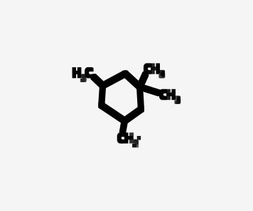 [CH2]C1CC(C)CC(C)(C)C1